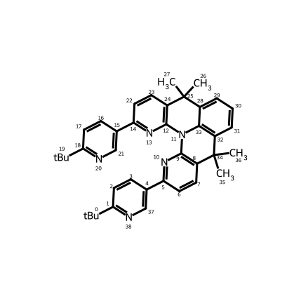 CC(C)(C)c1ccc(-c2ccc3c(n2)N2c4nc(-c5ccc(C(C)(C)C)nc5)ccc4C(C)(C)c4cccc(c42)C3(C)C)cn1